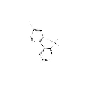 O=C(O)/C=C(\C(=O)C(F)(F)F)c1ccc(F)cc1